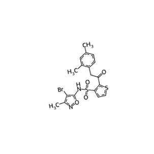 Cc1ccc(CC(=O)c2sccc2S(=O)(=O)Nc2onc(C)c2Br)c(C)c1